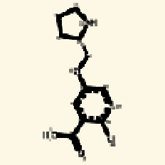 CC(=O)c1cc(OC[C@@H]2CCCN2)cnc1Cl